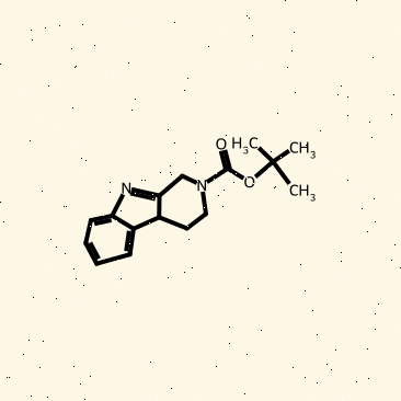 CC(C)(C)OC(=O)N1CCC2C(=Nc3ccccc32)C1